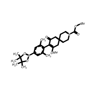 COC1=C(c2c(C)cc(B3OC(C)(C)C(C)(C)O3)cc2C)C(=O)CC2(CCN(C(=O)OC(C)(C)C)CC2)C1